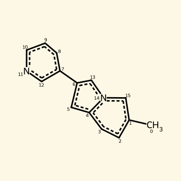 Cc1ccc2cc(-c3cccnc3)cn2c1